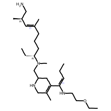 CC/C=C(/NCCOCC)C1=C(C)CNC(CN(C)[C@H](CC)CCC/C(C)=C/[C@@H](C)CN)C1